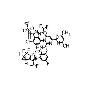 Cc1cc(C)nc(-c2cc(=O)n(-c3ccc(Cl)c4c(NS(=O)(=O)C5CC5)nn(CC(F)F)c34)c([C@H](Cc3cc(F)cc(F)c3)NC(=O)Cn3nc(C(F)F)c4c3C(F)(F)[C@@H]3C[C@H]43)n2)n1